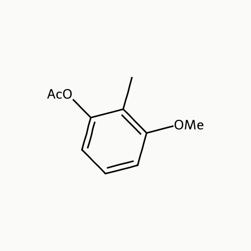 COc1cccc(OC(C)=O)c1C